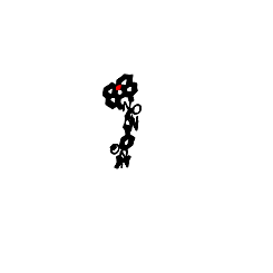 COc1cc(-c2cn(CC(=O)N3Cc4ccc5ccccc5c4-c4c(ccc5ccccc45)C3)nn2)ccc1-n1cnc(C)c1